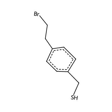 SCc1ccc(CCBr)cc1